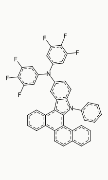 Fc1cc(N(c2cc(F)c(F)c(F)c2)c2ccc3c(c2)c2c4ccccc4c4ccc5ccccc5c4c2n3-c2ccccc2)cc(F)c1F